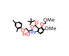 COCOc1c(OC)ccc(NCC(O)COc2ccc(C)cc2C)c1C1OCC(C)(C)CO1